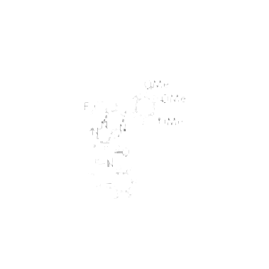 COc1cc(-c2cc(C(F)(F)F)n3ncc(C(=O)N4CCCc5ccccc54)c3n2)cc(OC)c1OC